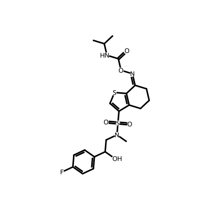 CC(C)NC(=O)O/N=C1/CCCc2c(S(=O)(=O)N(C)CC(O)c3ccc(F)cc3)csc21